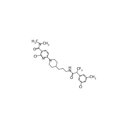 Cc1cc(Cl)cc(C(C(=O)NCCCC2CCN(c3ccc(C(=O)N(C)C)c(Cl)n3)CC2)C(F)(F)F)c1